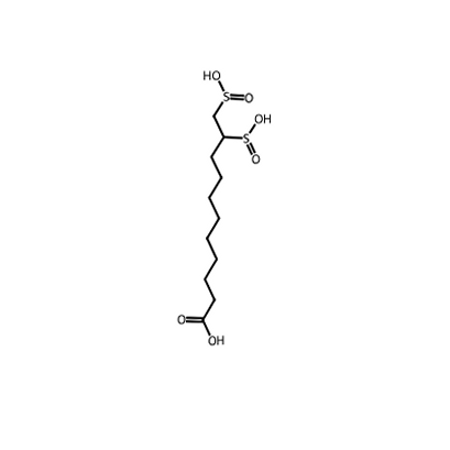 O=C(O)CCCCCCCCC(CS(=O)O)S(=O)O